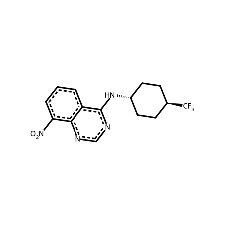 O=[N+]([O-])c1cccc2c(N[C@H]3CC[C@H](C(F)(F)F)CC3)ncnc12